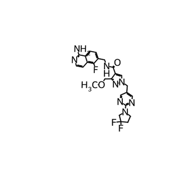 COCc1nn(Cc2cnc(N3CCC(F)(F)C3)nc2)cc1C(=O)NCc1ccc2c(N)nccc2c1F